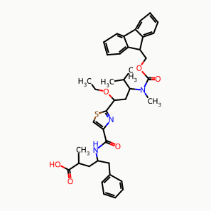 CCOC(CC(C(C)C)N(C)C(=O)OCC1c2ccccc2-c2ccccc21)c1nc(C(=O)NC(Cc2ccccc2)CC(C)C(=O)O)cs1